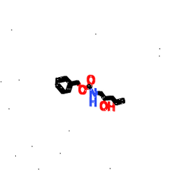 C=CC[C@H](O)CNC(=O)OCc1ccccc1